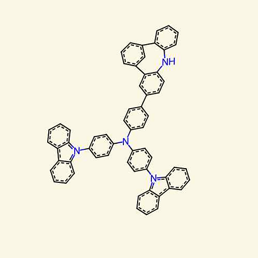 c1cc2cc(c1)-c1cc(-c3ccc(N(c4ccc(-n5c6ccccc6c6ccccc65)cc4)c4ccc(-n5c6ccccc6c6ccccc65)cc4)cc3)ccc1Nc1ccccc1-2